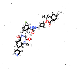 Cc1ccc(C(=O)O[C@H]2C[C@@H](CNC(=O)c3cc(F)cc(CN4C(=O)c5ccc(-c6ccncc6)cc5N(C)C(=O)[C@H]4C)c3)C2)c(C)c1